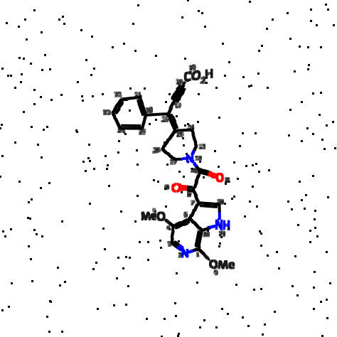 COc1ncc(OC)c2c(C(=O)C(=O)N3CCC(=C(C#CC(=O)O)c4ccccc4)CC3)c[nH]c12